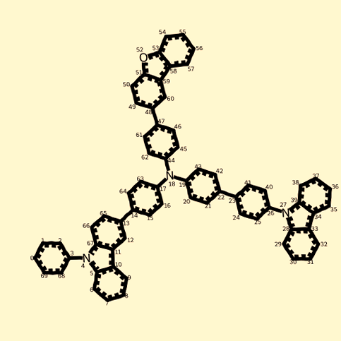 c1ccc(-n2c3ccccc3c3cc(-c4ccc(N(c5ccc(-c6ccc(-n7c8ccccc8c8ccccc87)cc6)cc5)c5ccc(-c6ccc7oc8ccccc8c7c6)cc5)cc4)ccc32)cc1